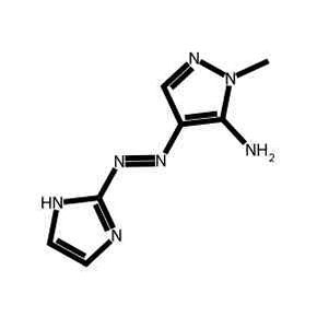 Cn1ncc(/N=N/c2ncc[nH]2)c1N